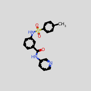 Cc1ccc(S(=O)(=O)Nc2cccc(C(=O)Nc3cccnc3)c2)cc1